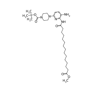 COC(=O)CCCCCCCCCCCCCC(=O)Nc1nc(N2CCN(C(=O)OC(C)(C)C)CC2)ccc1N